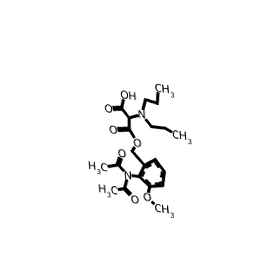 CCCN(CCC)C(C(=O)O)C(=O)OCc1cccc(OC)c1N(C(C)=O)C(C)=O